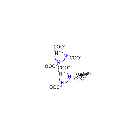 O=C([O-])CN1CCN(CC(=O)[O-])CCN(CC(=O)[O-])CC1.O=C([O-])CN1CCN(CC(=O)[O-])CCN(CC(=O)[O-])CC1.[Mn+2].[Mn+2].[Mn+2]